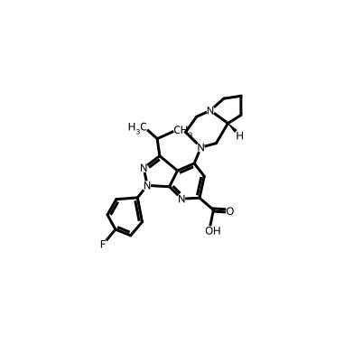 CC(C)c1nn(-c2ccc(F)cc2)c2nc(C(=O)O)cc(N3CCN4CCC[C@@H]4C3)c12